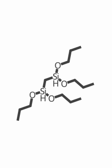 CCCO[SiH](C[SiH](OCCC)OCCC)OCCC